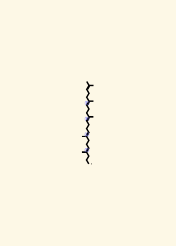 [CH2]CC/C(C)=C/CC/C(C)=C/CC/C=C(\C)CC/C=C(\C)CCC=C(C)C